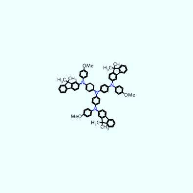 COc1ccc(N(C2=CC=C(N(c3ccc(N(c4ccc(OC)cc4)c4ccc5c(c4)-c4ccccc4C5(C)C)cc3)c3ccc(N(c4ccc(OC)cc4)c4ccc5c(c4)C(C)(C)c4ccccc4-5)cc3)CC2)c2ccc3c(c2)C(C)(C)c2ccccc2-3)cc1